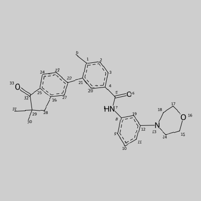 Cc1ccc(C(=O)Nc2cccc(N3CCOCC3)c2)cc1-c1ccc2c(c1)CC(C)(C)C2=O